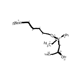 CCCCCCCCCCCCCO[N+](C)(CCC)CC(O)O